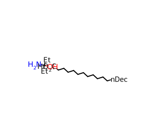 CCC(N)(O)CC.CCCCCCCCCCCCCCCCCCCCCC(=O)O